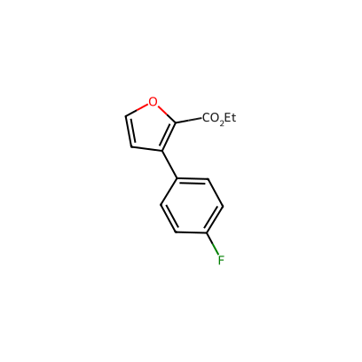 CCOC(=O)c1occc1-c1ccc(F)cc1